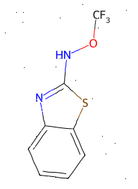 FC(F)(F)ONc1nc2ccccc2s1